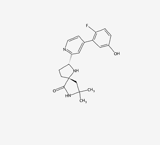 CC1(C)C[C@]2(CC[C@H](c3cc(-c4cc(O)ccc4F)ccn3)N2)C(=O)N1